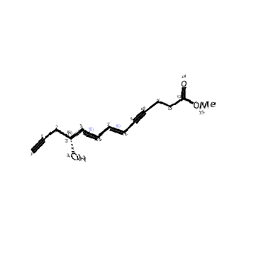 C#CC[C@@H](O)/C=C/C=C/C#CCCC(=O)OC